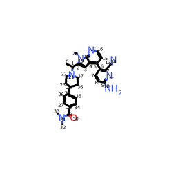 CC(c1cc2c(-c3ccc(N)nc3C#N)ccnc2n1C)N1CCC(c2ccc(C(=O)N(C)C)cc2)CC1